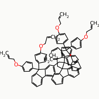 C=CCOc1ccc(C2(c3ccc(OCC=C)cc3)C(/C=C\C)=C(C(=C)CC3(C4(Cc5ccc6c(c5)C(c5ccc(OCC=C)cc5)(c5ccc(OCC=C)cc5)c5ccccc5-6)c5ccccc5-c5ccccc54)c4ccccc4-c4ccccc43)c3ccccc32)cc1